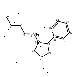 CCCCNP1CCCC1c1ccccc1